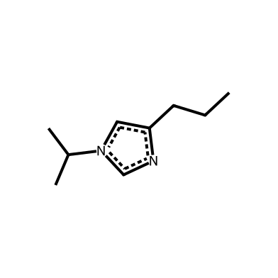 CCCc1cn(C(C)C)cn1